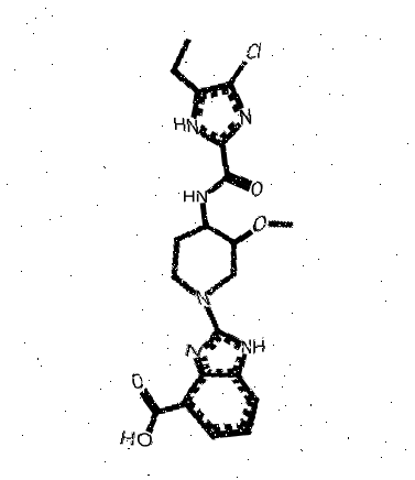 CCc1[nH]c(C(=O)NC2CCN(c3nc4c(C(=O)O)cccc4[nH]3)CC2OC)nc1Cl